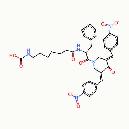 O=C(O)NCCCCCCC(=O)N[C@@H](Cc1ccccc1)C(=O)N1C/C(=C\c2ccc([N+](=O)[O-])cc2)C(=O)/C(=C/c2ccc([N+](=O)[O-])cc2)C1